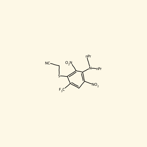 CCCN(CCC)c1c([N+](=O)[O-])cc(C(F)(F)F)c(SCC#N)c1[N+](=O)[O-]